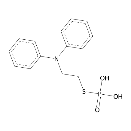 O=P(O)(O)SCCN(c1ccccc1)c1ccccc1